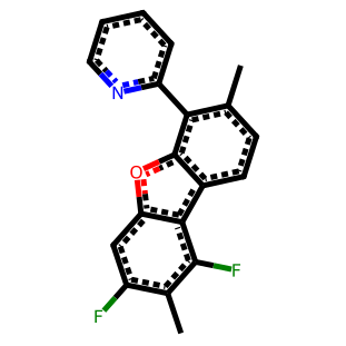 Cc1ccc2c(oc3cc(F)c(C)c(F)c32)c1-c1ccccn1